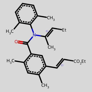 CC/C=C(\C)N(C(=O)c1cc(/C=C/C(=O)OCC)c(C)cc1C)c1c(C)cccc1C